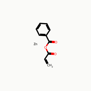 C=CC(=O)OC(=O)c1ccccc1.[Zn]